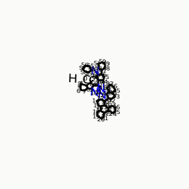 CC1(C)c2ccccc2-c2nc(-n3c4ccc5c6ccccc6c6ccccc6c5c4c4ccc5ccccc5c43)nc(-c3ccc4c5ccccc5n(-c5ccccc5)c4c3)c21